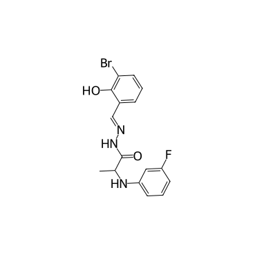 CC(Nc1cccc(F)c1)C(=O)NN=Cc1cccc(Br)c1O